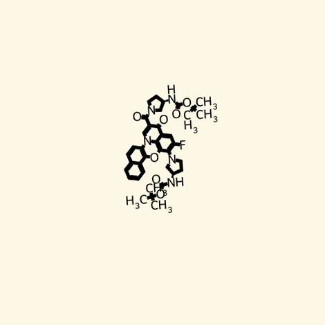 CC(C)(C)OC(=O)N[C@@H]1CCN(C(=O)c2cn3c4c(c(N5CC[C@@H](NC(=O)OC(C)(C)C)C5)c(F)cc4c2=O)Oc2c-3ccc3ccccc23)C1